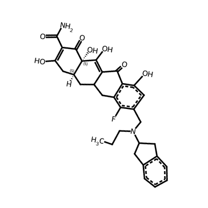 CCCN(Cc1cc(O)c2c(c1F)CC1C[C@H]3CC(O)=C(C(N)=O)C(=O)[C@@]3(O)C(O)=C1C2=O)C1Cc2ccccc2C1